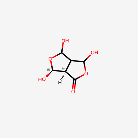 O=C1OC(O)C2C(O)O[C@H](O)[C@H]12